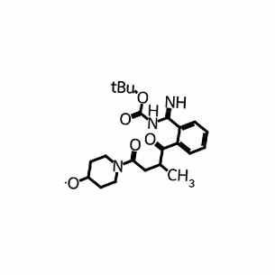 CC(CC(=O)N1CCC([O])CC1)C(=O)c1ccccc1C(=N)NC(=O)OC(C)(C)C